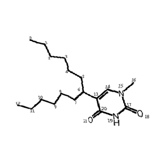 CCCCCCC(CCCCCC)c1cn(C)c(=O)[nH]c1=O